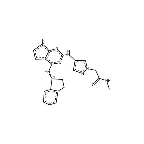 CNC(=O)Cn1cc(Nc2nc(N[C@H]3CCc4ccccc43)c3cc[nH]c3n2)cn1